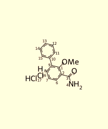 COc1c(C(N)=O)cccc1-c1ccccc1.Cl.Cl